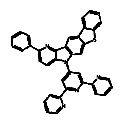 c1ccc(-c2ccc3c(n2)c2cc4c(cc2n3-c2cc(-c3ccccn3)nc(-c3ccccn3)c2)sc2ccccc24)cc1